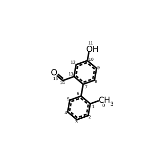 Cc1ccccc1-c1ccc(O)cc1C=O